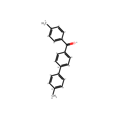 Cc1ccc(C(=O)c2ccc(-c3ccc(C)cc3)cc2)cc1